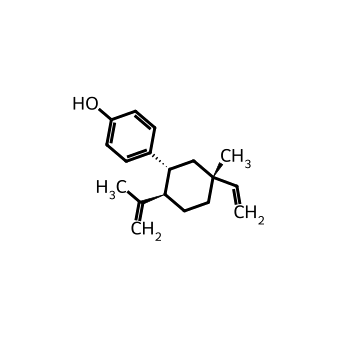 C=C[C@]1(C)CC[C@@H](C(=C)C)[C@H](c2ccc(O)cc2)C1